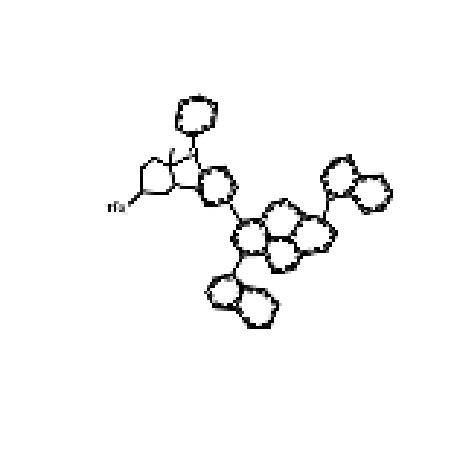 CC(C)(C)C1CCC2(C)C(C1)c1cc(-c3cc(-c4cccc5ccccc45)c4ccc5ccc(-c6cccc7ccccc67)c6ccc3c4c56)ccc1N2c1ccccc1